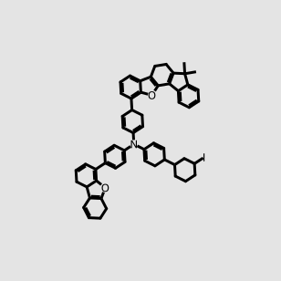 CC1(C)C2=C(c3ccccc31)c1oc3c(C4C=CC(N(C5=CCC(C6CCCC(I)C6)C=C5)c5ccc(C6=C7OC8=C(C=CCC8)C7CC=C6)cc5)=CC4)cccc3c1CC2